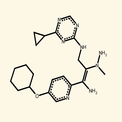 CN(N)/C(CNc1ncnc(C2CC2)n1)=C(\N)c1ccc(OC2CCCCC2)cn1